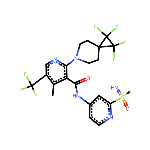 Cc1c(C(F)(F)F)cnc(N2CCC3(CC2)C(F)(F)C3(F)F)c1C(=O)Nc1ccnc([S@](C)(=N)=O)c1